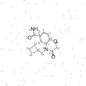 NC(=O)c1ccc2c(c1)N(CC1CCC1)C(=O)CO2